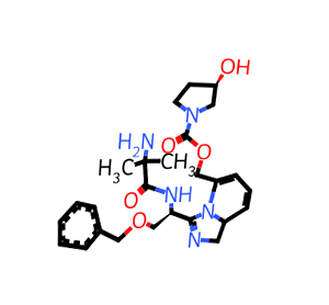 CC(C)(N)C(=O)N[C@H](COCc1ccccc1)C1=NCC2C=CC=C(COC(=O)N3CC[C@@H](O)C3)N12